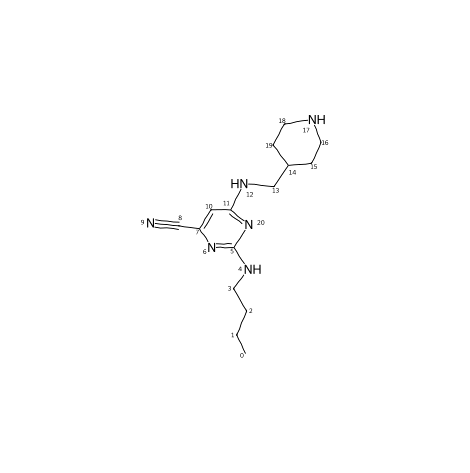 CCCCNc1nc(C#N)cc(NCC2CCNCC2)n1